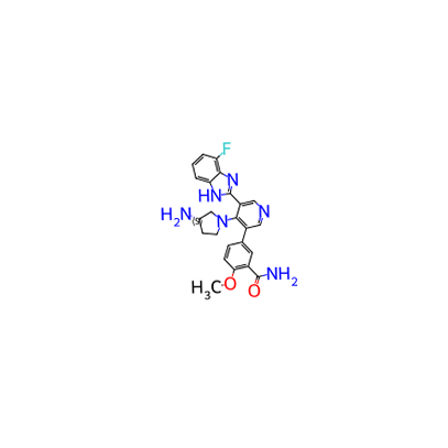 COc1ccc(-c2cncc(-c3nc4c(F)cccc4[nH]3)c2N2CC[C@H](N)C2)cc1C(N)=O